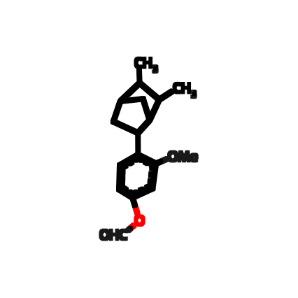 COc1cc(OC=O)ccc1C1CC2CC1C(C)C2C